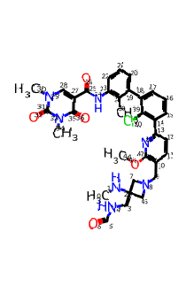 CNC1(CNC=O)CN(Cc2ccc(-c3cccc(-c4cccc(NC(=O)c5cn(C)c(=O)n(C)c5=O)c4C)c3Cl)nc2OC)C1